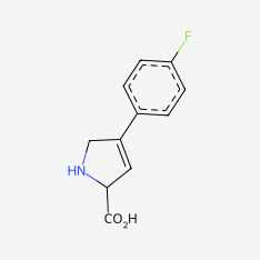 O=C(O)C1C=C(c2ccc(F)cc2)CN1